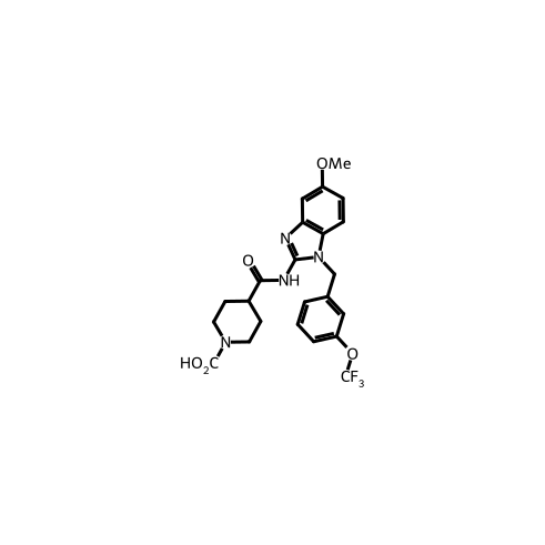 COc1ccc2c(c1)nc(NC(=O)C1CCN(C(=O)O)CC1)n2Cc1cccc(OC(F)(F)F)c1